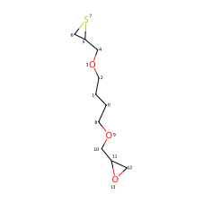 C(CCOCC1CS1)COCC1CO1